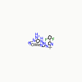 COc1cc(N(C)CCN(C)C)c(N)cc1Nc1nccc(N2CC(C)(C)c3ncc(-c4c(F)cccc4F)cc32)n1